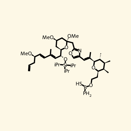 C=CC[C@H](/C=C/C(C)=C/[C@@H](O[Si](C(C)C)(C(C)C)C(C)C)[C@H]1C[C@@H](OC)C[C@](Cc2nc(/C=C(\C)[C@@H]3O[C@H](CCOB(P)S)[C@H](C)[C@H](C)[C@H]3C)co2)(OC)O1)OC